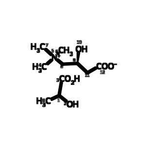 CC(O)C(=O)O.C[N+](C)(C)C[C@@H](O)CC(=O)[O-]